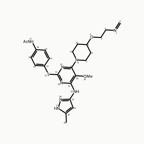 C=NCCOC1CCN(c2nc(Sc3ccc(NC(C)=O)cc3)nc(Nc3cc(C)[nH]n3)c2OC)CC1